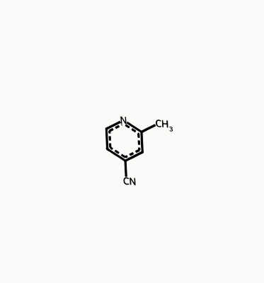 Cc1cc(C#N)ccn1